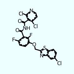 O=C(NC(=O)c1c(F)ccc(OCc2nc3cc(Cl)ccc3s2)c1F)c1c(Cl)ccnc1Cl